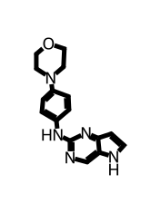 c1cc2nc(Nc3ccc(N4CCOCC4)cc3)ncc2[nH]1